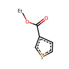 CCOC(=O)c1[c]scc1